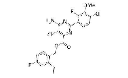 C=Cc1cc(F)ccc1COC(=O)c1nc(-c2ccc(Cl)c(OC)c2F)nc(N)c1Cl